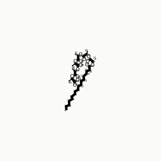 CCCCCCCCCCCCCCCCCC(=O)O[C@@H](C)C(=O)O[C@H](C)C(=O)O[C@H](C)C(=O)O[C@H](C)C(=O)O[C@H](C)C(=O)O[C@H](C)C(=O)O